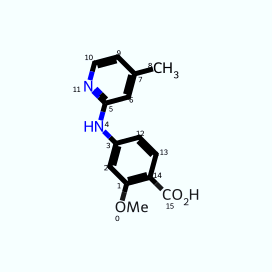 COc1cc(Nc2cc(C)ccn2)ccc1C(=O)O